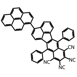 [C-]#[N+]c1c([N+]#[C-])c(C#N)c2c(-c3ccccc3)c3c(c(-c4ccccc4)c2c1C#N)-c1cccc2c(-c4ccc5ccc6cccc7ccc4c5c67)ccc-3c12